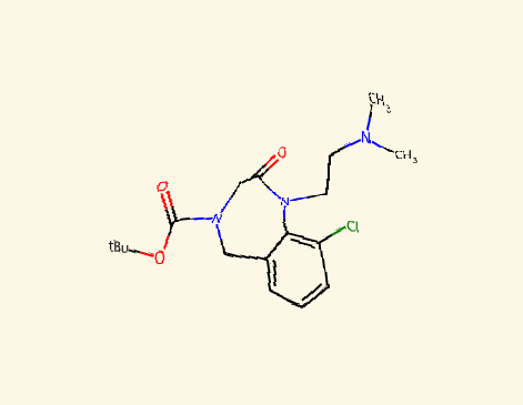 CN(C)CCN1C(=O)CN(C(=O)OC(C)(C)C)Cc2cccc(Cl)c21